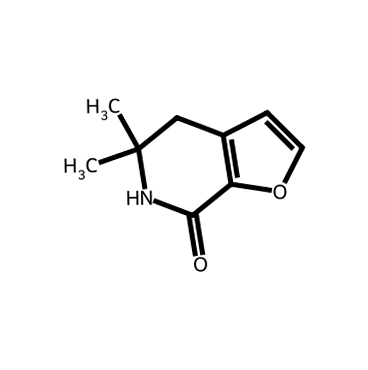 CC1(C)Cc2ccoc2C(=O)N1